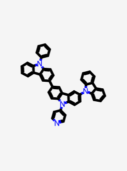 c1ccc(-n2c3ccccc3c3cc(-c4ccc5c(c4)c4cc(-n6c7ccccc7c7ccccc76)ccc4n5-c4ccncc4)ccc32)cc1